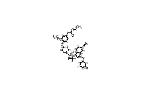 CCOC(=O)Cc1ccc(OC2CCN(CC(O)(c3cn(Cc4cccc(F)c4)c4cc(C#N)ccc34)C(F)(F)F)CC2)c(OC)c1